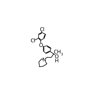 CC(O)(CCN1CCCCC1)c1ccc(Oc2ccc(Cl)cc2Cl)cc1